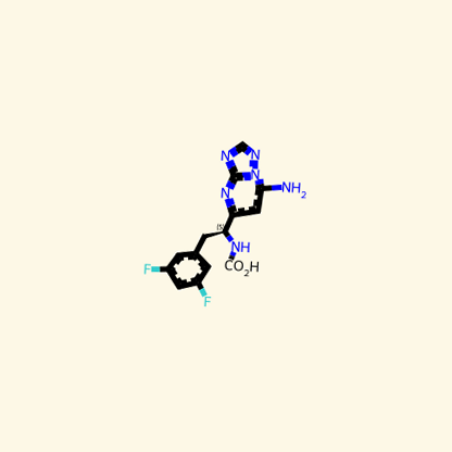 Nc1cc([C@H](Cc2cc(F)cc(F)c2)NC(=O)O)nc2ncnn12